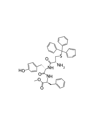 COC(=O)[C@H](Cc1ccccc1)NC(=O)[C@H](Cc1ccc(O)cc1)NC(=O)[C@@H](N)CSC(c1ccccc1)(c1ccccc1)c1ccccc1